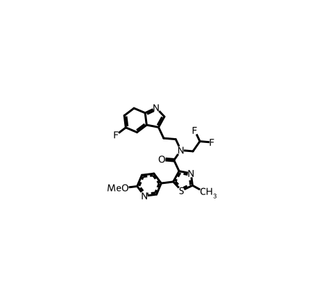 COc1ccc(-c2sc(C)nc2C(=O)N(CCC2=CN=C3CC=C(F)C=C23)CC(F)F)cn1